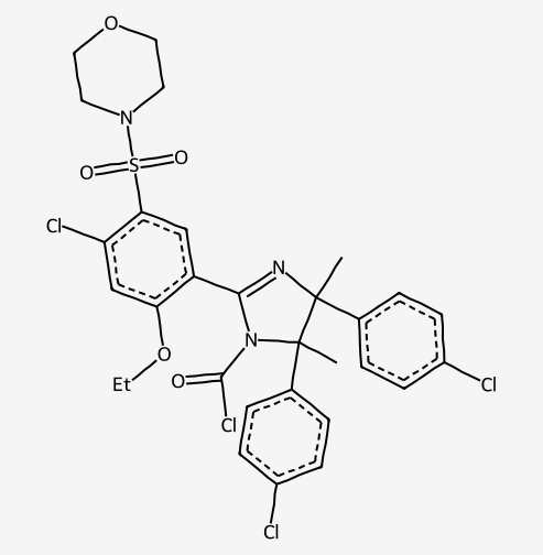 CCOc1cc(Cl)c(S(=O)(=O)N2CCOCC2)cc1C1=NC(C)(c2ccc(Cl)cc2)C(C)(c2ccc(Cl)cc2)N1C(=O)Cl